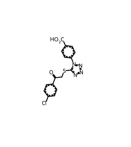 O=C(O)c1ccc(-n2nnnc2SCC(=O)c2ccc(Cl)cc2)cc1